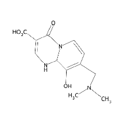 CN(C)CC1=C(O)C2NC=C(C(=O)O)C(=O)N2C=C1